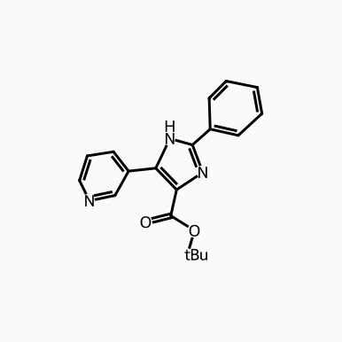 CC(C)(C)OC(=O)c1nc(-c2ccccc2)[nH]c1-c1cccnc1